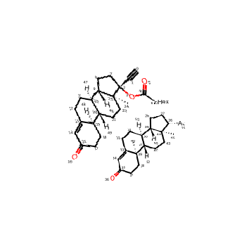 C#C[C@]1(OC(=O)CCCCCC)CC[C@H]2[C@@H]3CCC4=CC(=O)CC[C@@H]4[C@H]3CC[C@@]21C.CC(=O)[C@H]1CC[C@H]2[C@@H]3CCC4=CC(=O)CC[C@]4(C)[C@H]3CC[C@]12C